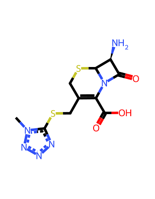 Cn1nnnc1SCC1=C(C(=O)O)N2C(=O)[C@H](N)C2SC1